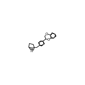 c1ccc2c(c1)OCC(c1ccc(CC34CCC(CC3)N4)cc1)O2